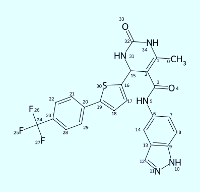 CC1=C(C(=O)Nc2ccc3[nH]ncc3c2)C(c2ccc(-c3ccc(C(F)(F)F)cc3)s2)NC(=O)N1